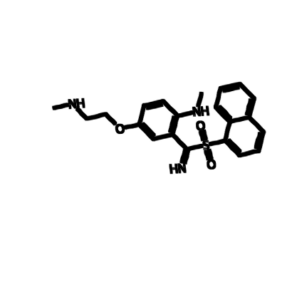 CNCCOc1ccc(NC)c(C(=N)S(=O)(=O)c2cccc3ccccc23)c1